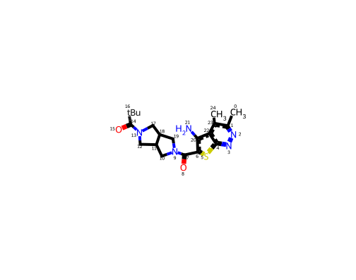 Cc1nnc2sc(C(=O)N3CC4CN(C(=O)C(C)(C)C)CC4C3)c(N)c2c1C